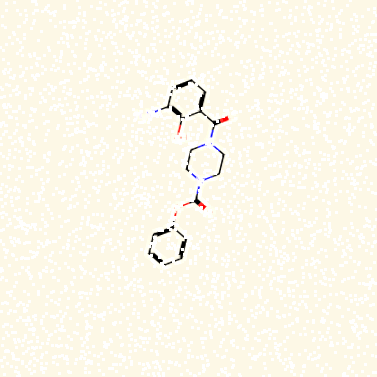 Nc1cccc(C(=O)N2CCN(C(=O)Oc3ccccc3)CC2)c1O